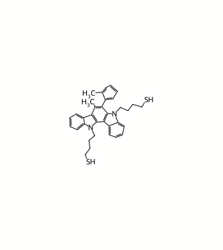 Cc1ccccc1-c1c(C)c2c3ccccc3n(CCCCS)c2c2c3ccccc3n(CCCCS)c12